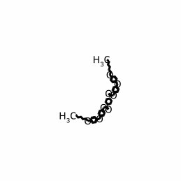 CCCCCCOc1ccc(Oc2ccc(OC(=O)[C@H]3CC[C@H](C(=O)Oc4ccc(Oc5ccc(OCCCCCC)cc5)cc4)CC3)cc2)cc1